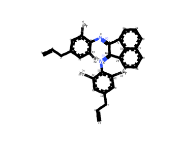 C=CCc1cc(C(C)C)c(/N=C2\C(=N\c3c(C(C)C)cc(CC=C)cc3C(C)C)c3cccc4cccc2c34)c(C(C)C)c1